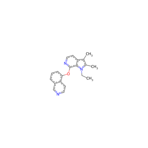 CCn1c(C)c(C)c2ccnc(Oc3cccc4cnccc34)c21